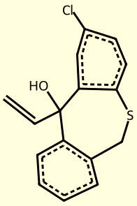 C=CC1(O)c2ccccc2CSc2ccc(Cl)cc21